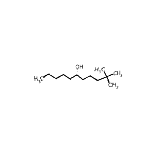 CCCCC[C@H](O)CCCC(C)(C)C